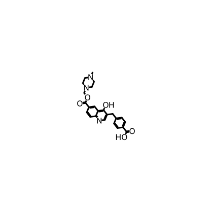 CN1CCN(COC(=O)c2ccc3ncc(Cc4ccc(C(=O)O)cc4)c(O)c3c2)CC1